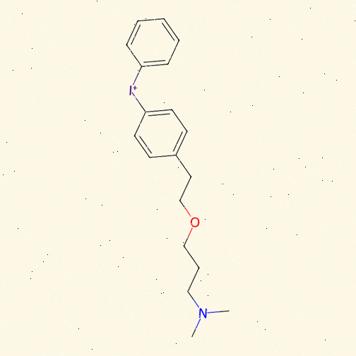 CN(C)CCCOCCc1ccc([I+]c2ccccc2)cc1